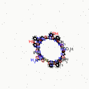 CCCC[C@H]1C(=O)N2CCC[C@@H]2C(=O)N[C@@H](CC(=O)O)C(=O)N[C@@H](C)C(=O)N(C)C(Cc2ccccc2)C(=O)N[C@@H](Cc2ccc(O)cc2)C2OC2N2CCCCC2C(=O)N[C@@H](Cc2c[nH]c3ccccc23)C(=O)N[C@@H](Cc2ccc(O)cc2)C(=O)N[C@@H](CC(C)C)C(=O)N[C@H](C(=O)NCC(N)=O)CSCC(=O)N[C@@H](Cc2ccccc2)C(=O)N(C)C(Cc2ccccc2)C(=O)N1C